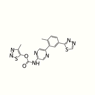 Cc1ccc(-c2nncs2)cc1-c1cnc(NC(=O)Oc2snnc2C)cn1